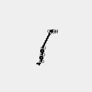 CCC(C)COC(=O)c1ccc(OC(=O)c2ccc(OC(=O)CCCCCCCCCCCOC(=O)C(C)(CO)CO)cc2)cc1